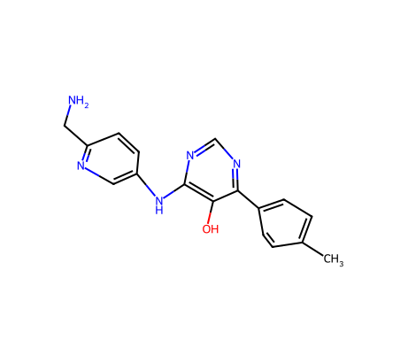 Cc1ccc(-c2ncnc(Nc3ccc(CN)nc3)c2O)cc1